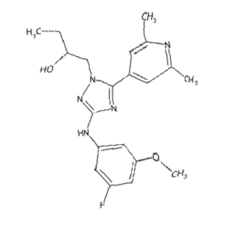 CCC(O)Cn1nc(Nc2cc(F)cc(OC)c2)nc1-c1cc(C)nc(C)c1